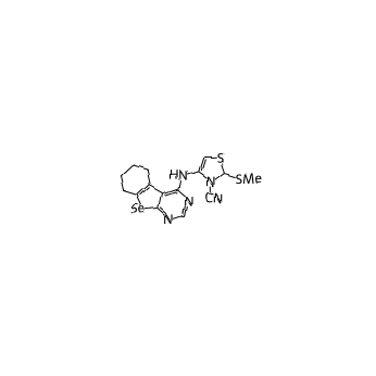 CSC1SC=C(Nc2ncnc3[se]c4c(c23)CCCC4)N1C#N